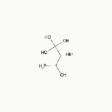 Br.OC(P)CC(O)(O)O